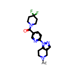 CC(=O)N1CCc2c(cnn2-c2ccc(C(=O)N3CCC(F)(F)CC3)cn2)C1